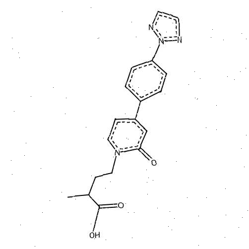 CC(CCn1ccc(-c2ccc(-n3nccn3)cc2)cc1=O)C(=O)O